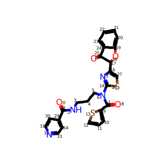 O=C(NCCCN(C(=O)c1cccs1)c1nc(C2Oc3ccccc3C2=O)cs1)c1ccncc1